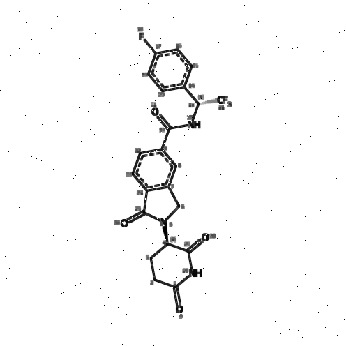 O=C1CC[C@@H](N2Cc3cc(C(=O)N[C@H](c4ccc(F)cc4)C(F)(F)F)ccc3C2=O)C(=O)N1